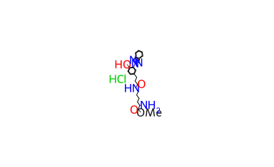 COC(=O)[C@@H](N)CCCCNC(=O)CCc1ccc(O)c(-n2nc3ccccc3n2)c1.Cl